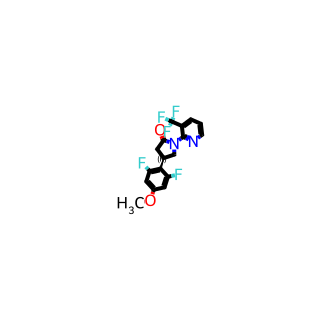 COc1cc(F)c([C@H]2CC(=O)N(c3ncccc3C(F)(F)F)C2)c(F)c1